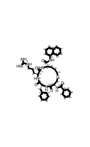 N=C(N)NCCC[C@@H]1NC(=O)[C@@H](Cc2ccccc2)NC(=O)[C@@H](NC(=O)c2ccccc2)COCCC[C@@H](C(=O)Nc2cccc3ccccc23)NC1=O